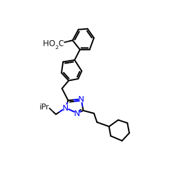 CC(C)Cn1nc(CCC2CCCCC2)nc1Cc1ccc(-c2ccccc2C(=O)O)cc1